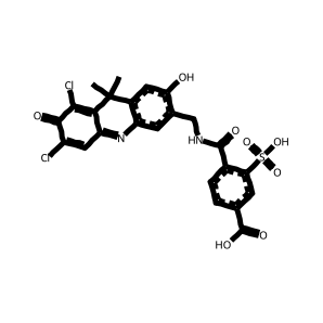 CC1(C)C2=C(Cl)C(=O)C(Cl)=CC2=Nc2cc(CNC(=O)c3ccc(C(=O)O)cc3S(=O)(=O)O)c(O)cc21